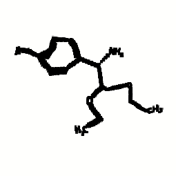 CCOC(OCC)[C@@H](N)c1ccc(Br)cc1